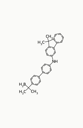 BC(C)(C)c1ccc(-c2ccc(Nc3ccc4c(c3)-c3ccccc3C4(C)C)cc2)cc1